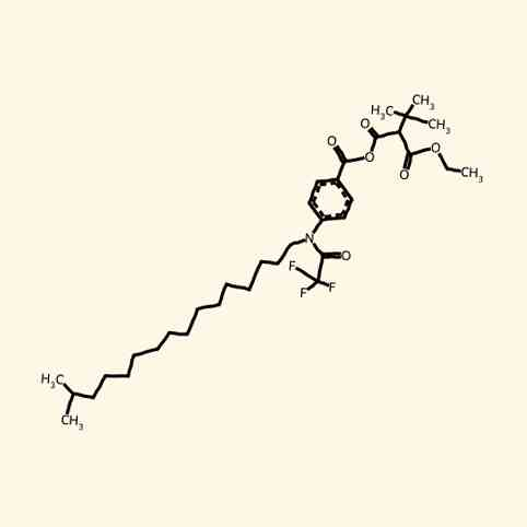 CCOC(=O)C(C(=O)OC(=O)c1ccc(N(CCCCCCCCCCCCCCC(C)C)C(=O)C(F)(F)F)cc1)C(C)(C)C